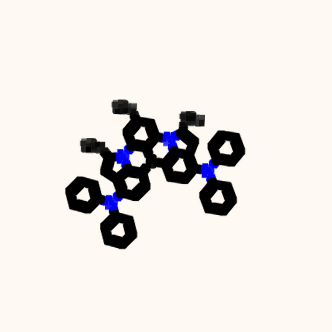 CC(C)(C)c1cc2c3c(c1)-n1c(C(C)(C)C)cc4c(N(c5ccccc5)c5ccccc5)ccc(c41)B3c1ccc(N(c3ccccc3)c3ccccc3)c3cc(C(C)(C)C)n-2c13